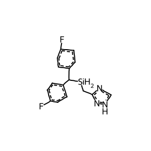 Fc1ccc(C([SiH2]Cc2nc[nH]n2)c2ccc(F)cc2)cc1